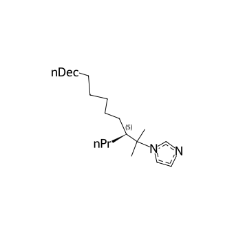 CCCCCCCCCCCCCCC[C@H](CCC)C(C)(C)n1ccnc1